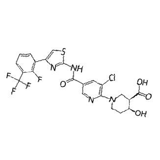 O=C(Nc1nc(-c2cccc(C(F)(F)F)c2F)cs1)c1cnc(N2CC[C@H](O)[C@H](C(=O)O)C2)c(Cl)c1